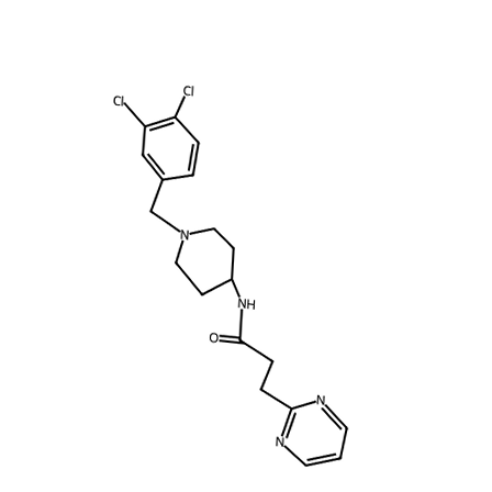 O=C(CCc1ncccn1)NC1CCN(Cc2ccc(Cl)c(Cl)c2)CC1